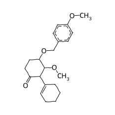 COc1ccc(COC2CCC(=O)C(C3=CCCCC3)C2OC)cc1